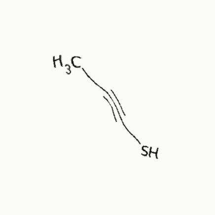 CC#CS